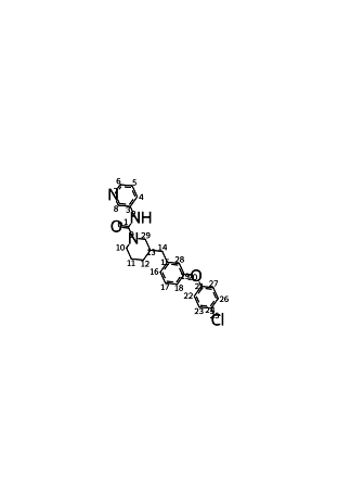 O=C(Nc1cccnc1)N1CCCC(Cc2cccc(Oc3ccc(Cl)cc3)c2)C1